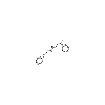 CC(CCSSCCC[n+]1ccccc1)[n+]1ccccc1